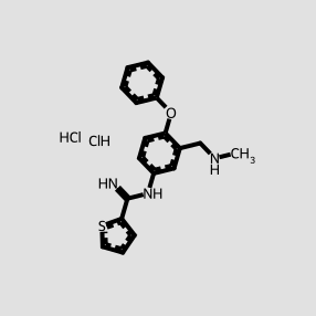 CNCc1cc(NC(=N)c2cccs2)ccc1Oc1ccccc1.Cl.Cl